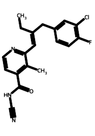 CC/C(=C\c1nccc(C(=O)NC#N)c1C)Cc1ccc(F)c(Cl)c1